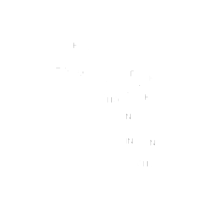 COc1c(F)cccc1C1(CC(O)(C=Nc2cnc(C)[nH]2)C(F)(F)F)CC1